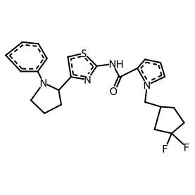 O=C(Nc1nc(C2CCCN2c2ccccc2)cs1)c1cccn1CC1CCC(F)(F)C1